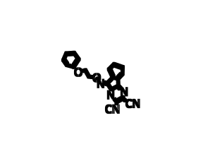 N#Cc1nc2c(nc1C#N)-c1ccccc1C2=NOCCOc1ccccc1